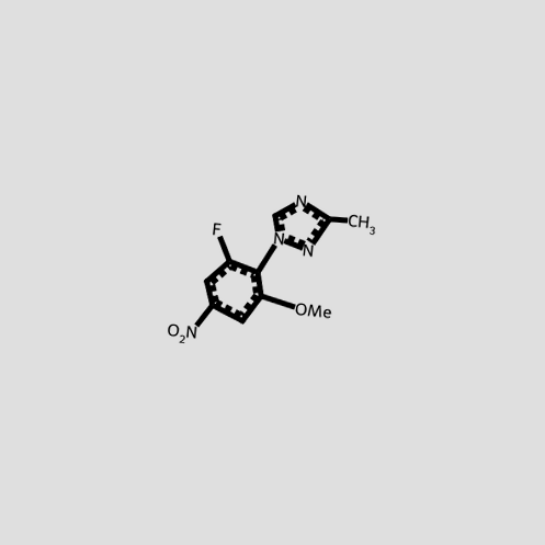 COc1cc([N+](=O)[O-])cc(F)c1-n1cnc(C)n1